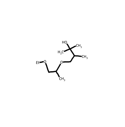 CCOCC(C)OCC(C)C(C)(C)O